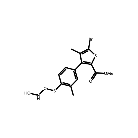 COC(=O)c1sc(Br)c(C)c1-c1ccc(SONO)c(C)c1